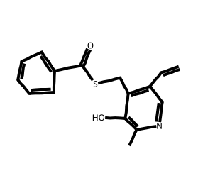 C=Cc1cnc(C)c(O)c1CSC(=O)c1ccccc1